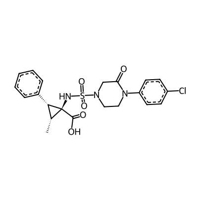 C[C@@H]1[C@H](c2ccccc2)[C@]1(NS(=O)(=O)N1CCN(c2ccc(Cl)cc2)C(=O)C1)C(=O)O